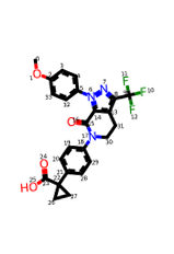 COc1ccc(-n2nc(C(F)(F)F)c3c2C(=O)N(c2ccc(C4(C(=O)O)CC4)cc2)CC3)cc1